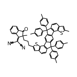 Cc1ccc(C2(c3ccc(C)cc3)c3cc4c(cc3-c3c2ccc2cc(C)sc32)C(c2ccc(C)cc2)(c2ccc(C)cc2)c2ccc3cc(CCCC5(C)C(=O)c6ccccc6C5=C(C#N)C#N)sc3c2-4)cc1